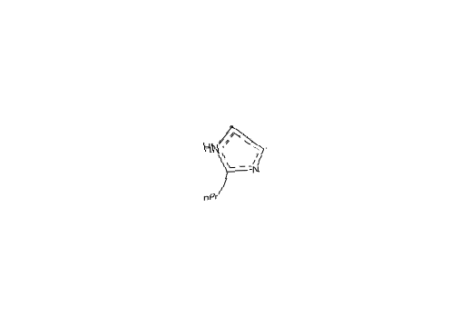 CCCc1n[c]c[nH]1